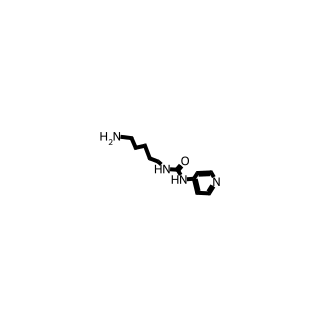 NCCCCCNC(=O)Nc1ccncc1